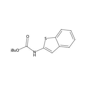 CC(C)COC(=O)Nc1cc2ccccc2s1